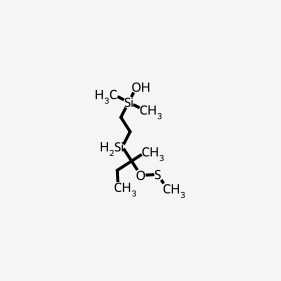 CCC(C)(OSC)[SiH2]CC[Si](C)(C)O